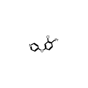 CC(C)c1ccc(Oc2ccncc2)cc1Cl